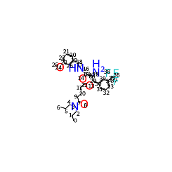 CCCN(CCC)C(=O)CCCC(=O)O[C@H](CNCc1cccc(OC)c1)[C@@H](N)Cc1cccc(C(F)(F)F)c1